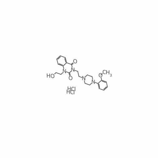 COc1ccccc1N1CCN(CCn2c(=O)c3ccccc3n(CCO)c2=O)CC1.Cl.Cl